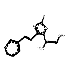 CO/C=C(/C(=O)O)c1sc(Cl)nc1/C=C/c1ccccc1